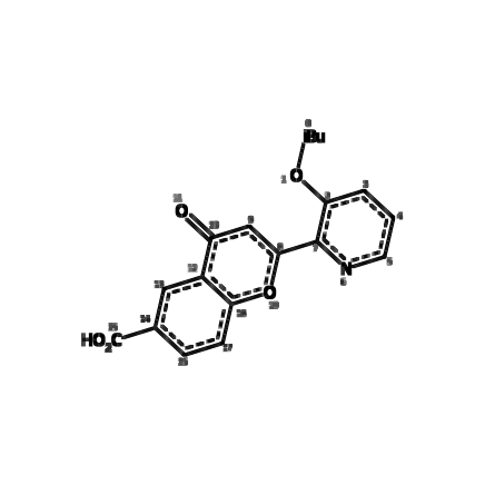 CCC(C)Oc1cccnc1-c1cc(=O)c2cc(C(=O)O)ccc2o1